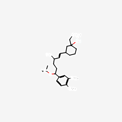 COc1ccc(C(CCC(C=CC2CCCC(O)(CC(=O)O)C2)C(C)(C)C)O[SiH](C)C)cc1OC